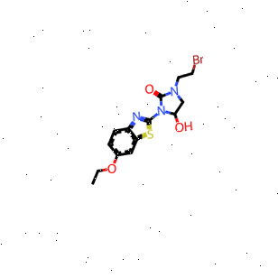 CCOc1ccc2nc(N3C(=O)N(CCBr)CC3O)sc2c1